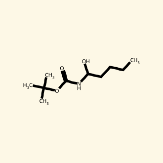 CCCCC(O)NC(=O)OC(C)(C)C